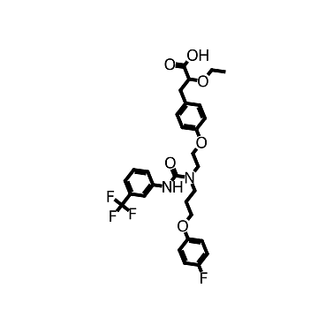 CCOC(Cc1ccc(OCCN(CCCOc2ccc(F)cc2)C(=O)Nc2cccc(C(F)(F)F)c2)cc1)C(=O)O